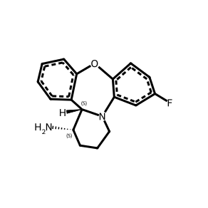 N[C@H]1CCCN2c3cc(F)ccc3Oc3ccccc3[C@@H]12